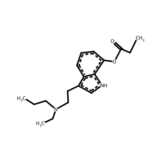 CCCN(CC)CCc1c[nH]c2c(OC(=O)CC)cccc12